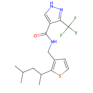 CC(C)CC(C)c1sccc1CNC(=O)c1c[nH]nc1C(F)(F)F